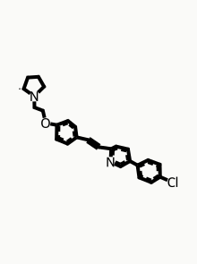 Clc1ccc(-c2ccc(C#Cc3ccc(OCCN4[CH]CCC4)cc3)nc2)cc1